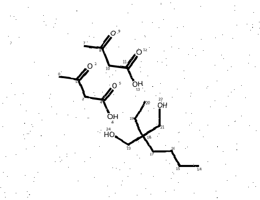 CC(=O)CC(=O)O.CC(=O)CC(=O)O.CCCCC(CC)(CO)CO